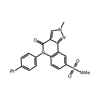 CNS(=O)(=O)c1ccc2c(c1)c1nn(C)cc1c(=O)n2-c1ccc(C(C)C)cc1